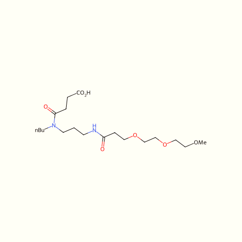 CCCCN(CCCNC(=O)CCOCCOCCOC)C(=O)CCC(=O)O